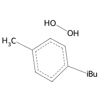 CCC(C)c1ccc(C)cc1.OO